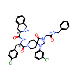 O=C(CN1CN(c2cccc(Cl)c2)C2(CCN(C(=O)[C@@H](Cc3ccc(Cl)cc3)NC(=O)[C@H]3Cc4ccccc4CN3)CC2)C1=O)NCc1ccccc1